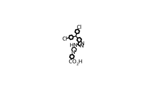 O=C(O)c1ccc(N2CCC(Nc3cnnc4ccc(C(c5ccc(Cl)cc5)c5ccc(Cl)cc5)cc34)CC2)cc1